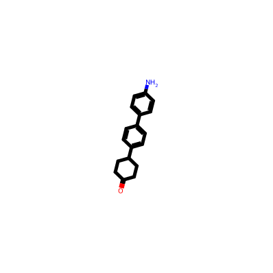 Nc1ccc(-c2ccc(C3CCC(=O)CC3)cc2)cc1